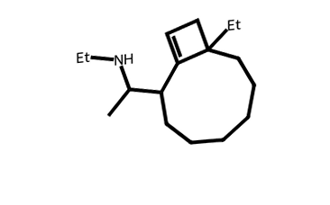 CCNC(C)C1CCCCCCC2(CC)CC=C12